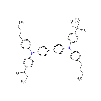 CCCCc1ccc(N(c2ccc(-c3ccc(N(c4ccc(CCCC)cc4)c4ccc(C(C)(CC)CC)cc4)cc3)cc2)c2ccc(C(C)CC)cc2)cc1